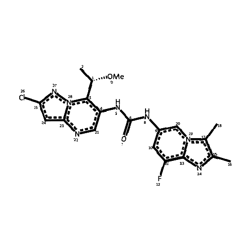 CO[C@@H](C)c1c(NC(=O)Nc2cc(F)c3nc(C)c(C)n3c2)cnc2cc(Cl)nn12